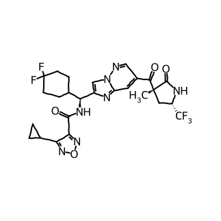 C[C@]1(C(=O)c2cnn3cc([C@@H](NC(=O)c4nonc4C4CC4)C4CCC(F)(F)CC4)nc3c2)C[C@@H](C(F)(F)F)NC1=O